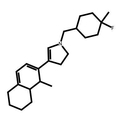 CC1C(C2=CN(CC3CCC(C)(F)CC3)CC2)=CC=C2CCCCC21